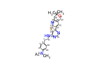 CC(=O)N(C)c1ccc(CCNc2ncnc3c2sc2nc4c(cc23)COC(C)(C)C4)cc1